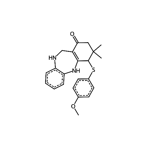 COc1ccc(SC2C3=C(CNc4ccccc4N3)C(=O)CC2(C)C)cc1